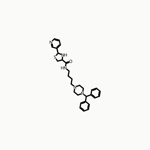 O=C(NCCCCN1CCN(C(c2ccccc2)c2ccccc2)CC1)C1CSC(c2cccnc2)N1